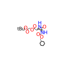 CC(C)(C)OC(=O)COC(=O)C[C@H]1NC(=O)[C@@H]1NC(=O)OCc1ccccc1